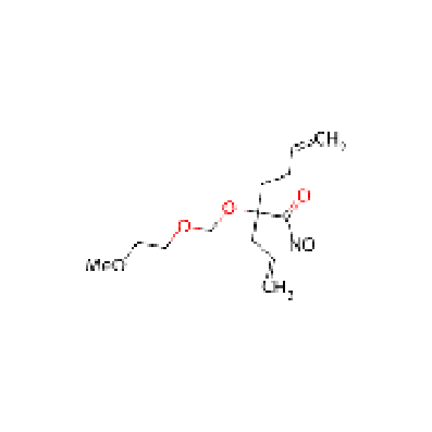 C=CCCC(CC=C)(OCOCCOC)C(=O)N=O